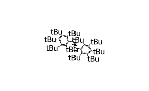 CC(C)(C)c1c(SSc2c(C(C)(C)C)c(C(C)(C)C)c(C(C)(C)C)c(C(C)(C)C)c2C(C)(C)C)c(C(C)(C)C)c(C(C)(C)C)c(C(C)(C)C)c1C(C)(C)C